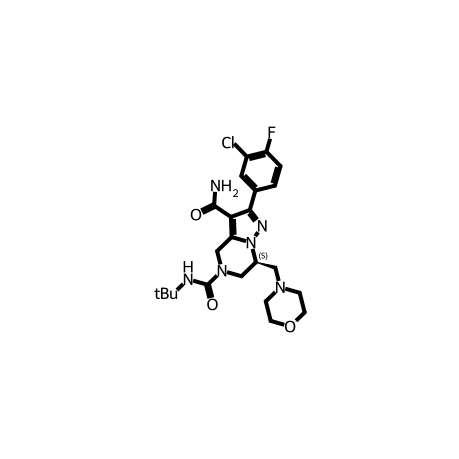 CC(C)(C)NC(=O)N1Cc2c(C(N)=O)c(-c3ccc(F)c(Cl)c3)nn2[C@@H](CN2CCOCC2)C1